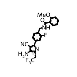 COc1ccccc1C(=O)NCc1ccc(-c2nn(CC(F)(F)F)c(N)c2C#N)cc1F